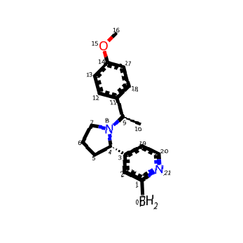 Bc1cc([C@@H]2CCCN2[C@H](C)c2ccc(OC)cc2)ccn1